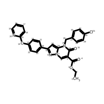 CCOC(=O)c1cn2nc(-c3ccc(Oc4ccccn4)cc3)cc2n(Cc2ccc(Cl)cc2)c1=O